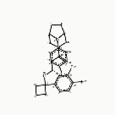 N#Cc1ccc(N2C3CCC2CN(C(=O)CCOC2(c4ccc(F)c(F)c4)CCC2)C3)nc1